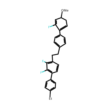 CCc1ccc(-c2ccc(CCc3ccc(C4=CCC(OC)C=C4F)cc3)c(F)c2F)cc1